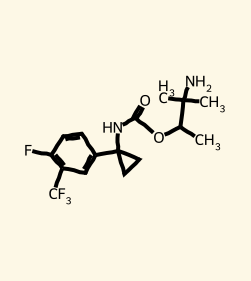 CC(OC(=O)NC1(c2ccc(F)c(C(F)(F)F)c2)CC1)C(C)(C)N